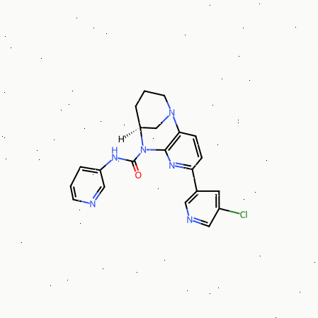 O=C(Nc1cccnc1)N1c2nc(-c3cncc(Cl)c3)ccc2N2CCC[C@H]1C2